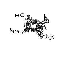 O=[SH](=O)c1ccc(-c2c3nc(c(-c4ccc(S(=O)(=O)O)cc4)c4ccc([nH]4)c(-c4ccc(S(=O)(=O)O)cc4)c4nc(c(-c5ccc(S(=O)(=O)O)cc5)c5ccc2[nH]5)C=C4)C=C3)cc1